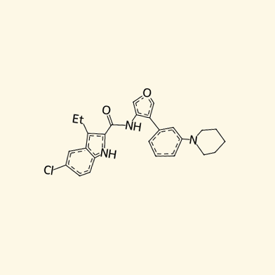 CCc1c(C(=O)Nc2cocc2-c2cccc(N3CCCCC3)c2)[nH]c2ccc(Cl)cc12